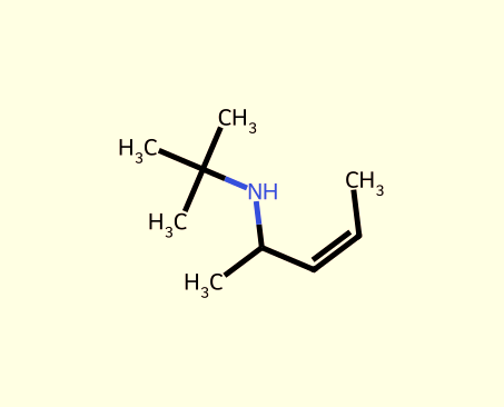 C/C=C\C(C)NC(C)(C)C